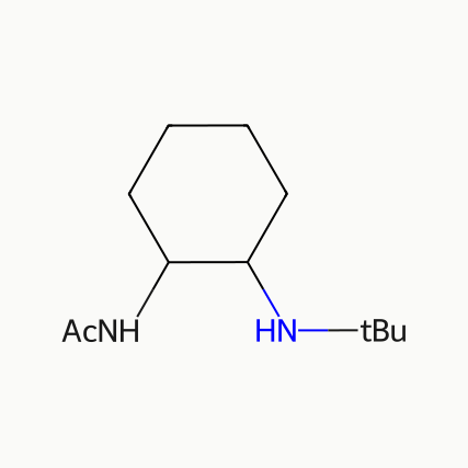 CC(=O)NC1CCCCC1NC(C)(C)C